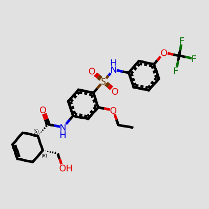 CCOc1cc(NC(=O)[C@H]2CC=CC[C@H]2CO)ccc1S(=O)(=O)Nc1cccc(OC(F)(F)F)c1